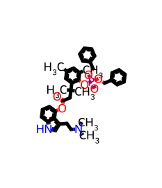 Cc1cc(C)c(OP(=O)(OCc2ccccc2)OCc2ccccc2)c(C(C)(C)CC(=O)Oc2cccc3[nH]cc(CCN(C)C)c23)c1